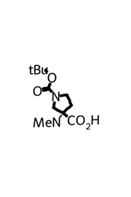 CN[C@@]1(C(=O)O)CCN(C(=O)OC(C)(C)C)C1